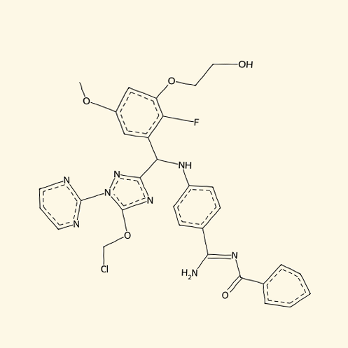 COc1cc(OCCO)c(F)c(C(Nc2ccc(C(N)=NC(=O)c3ccccc3)cc2)c2nc(OCCl)n(-c3ncccn3)n2)c1